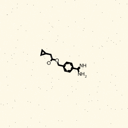 N=C(N)c1ccc(COC([O])CC2CC2)cc1